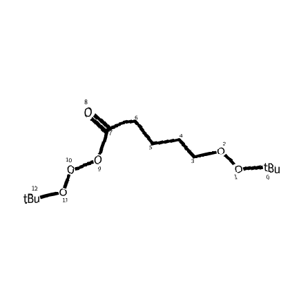 CC(C)(C)OOCCCCC(=O)OOOC(C)(C)C